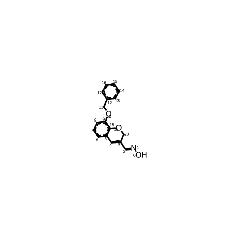 O/N=C/C1=Cc2cccc(OCc3ccccc3)c2OC1